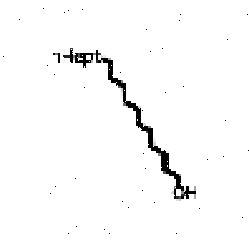 CCCCCCCCCCCCCCC/C=C/CO